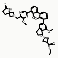 CCOC(=O)C1CN([C@H]2CCc3cc(-c4cccc(-c5cccc(-c6cnc(CN7CC8(CCC(=O)N8)C7)c(OC)n6)c5Cl)c4Cl)cc(OC)c32)C1